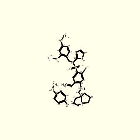 C=Cc1cc(S(=O)(=O)N(Cc2ccc(OC)cc2OC)c2nccs2)c(F)cc1NC[C@@]12CCCN1C[C@H](Cc1ccc(OC)cc1)C2